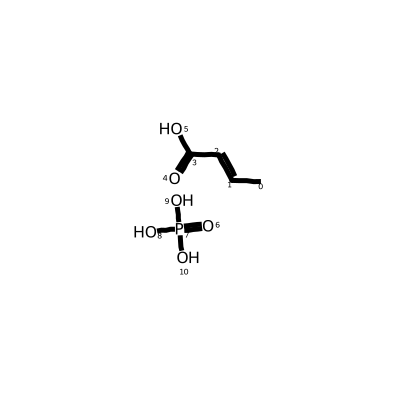 C/C=C/C(=O)O.O=P(O)(O)O